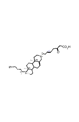 CC(C)CCC[C@@H](C)[C@H]1CCC2C3CC=C4C[C@@H](OC/C=C/CC(=O)CC(=O)O)CC[C@]4(C)C3CC[C@@]21C